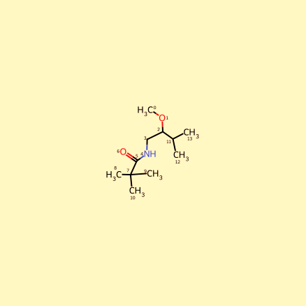 COC(CNC(=O)C(C)(C)C)C(C)C